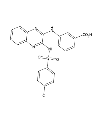 O=C(O)c1cccc(Nc2nc3ccccc3nc2NS(=O)(=O)c2ccc(Cl)cc2)c1